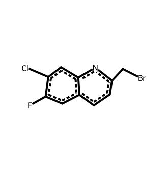 Fc1cc2ccc(CBr)nc2cc1Cl